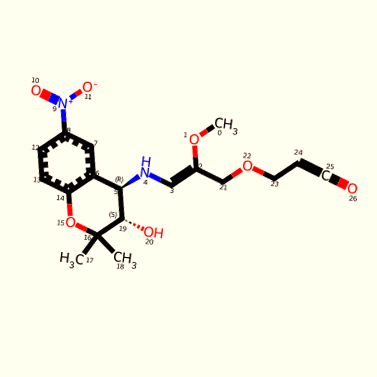 COC(=CN[C@@H]1c2cc([N+](=O)[O-])ccc2OC(C)(C)[C@H]1O)COCC=C=O